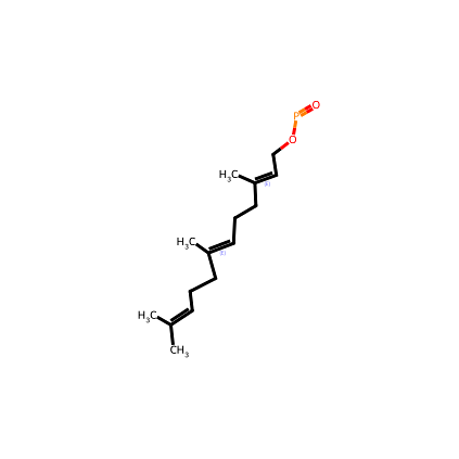 CC(C)=CCC/C(C)=C/CC/C(C)=C/COP=O